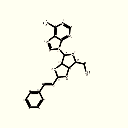 Nc1ncnc2c1ncn2C1OC(CO)C2OC(C=Cc3ccccc3)OC21